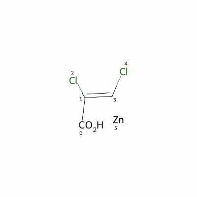 O=C(O)C(Cl)=CCl.[Zn]